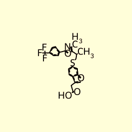 Cc1nc(-c2ccc(C(F)(F)F)cc2)oc1C(C)CSc1ccc2c(CC(=O)O)coc2c1